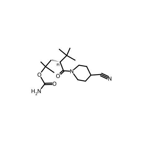 CC(C)(C[C@@H](C(=O)N1CCC(C#N)CC1)C(C)(C)C)OC(N)=O